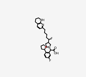 O=C(O)C(c1cc(F)ccc1C1CCCO1)N1CCC(C(F)CCCCc2ccc3c(n2)NCCC3)C1